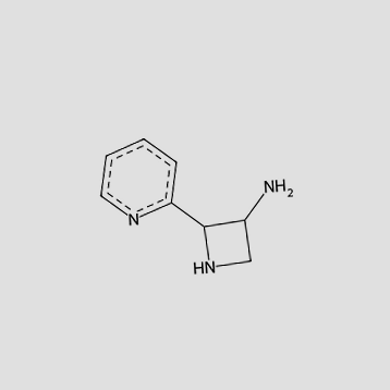 NC1CNC1c1ccccn1